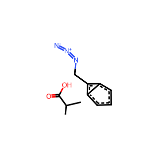 CC(C)C(=O)O.[N-]=[N+]=NCc1c2cccc1-2